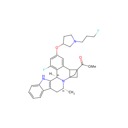 COC(=O)C12CC3(C1)C2c1cc(OC2CCN(CCCF)C2)cc(F)c1[C@@H]1c2[nH]c4ccccc4c2C[C@@H](C)N13